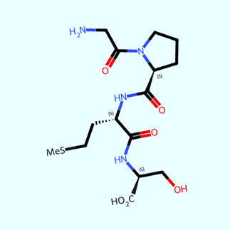 CSCC[C@H](NC(=O)[C@@H]1CCCN1C(=O)CN)C(=O)N[C@@H](CO)C(=O)O